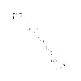 CC(=O)N1Cc2ccccc2-c2c(nnn2CCOCCOCCOCCOCCC(=O)NCCCCCCOP(O)(=S)OC(C)C)-c2ccccc21